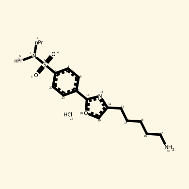 CCCN(CCC)S(=O)(=O)c1ccc(-c2nc(CCCCCN)co2)cc1.Cl